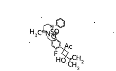 C=C(C)C1(O)CC(C(C)=O)(c2cc(F)c(CN3[C@@H](C)CC[C@H](c4ccccc4)S3(=O)=O)cc2F)C1